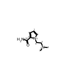 CN(C)CCn1cc[c]c1C(N)=O